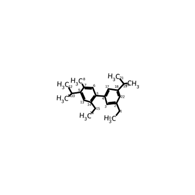 CCc1cc(-c2cc(C)c(C(C)C)cc2CC)cc(C(C)C)c1